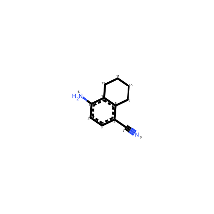 N#Cc1ccc(N)c2c1CCCC2